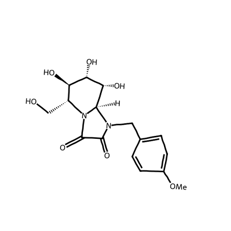 COc1ccc(CN2C(=O)C(=O)N3[C@H](CO)[C@@H](O)[C@H](O)[C@H](O)[C@@H]23)cc1